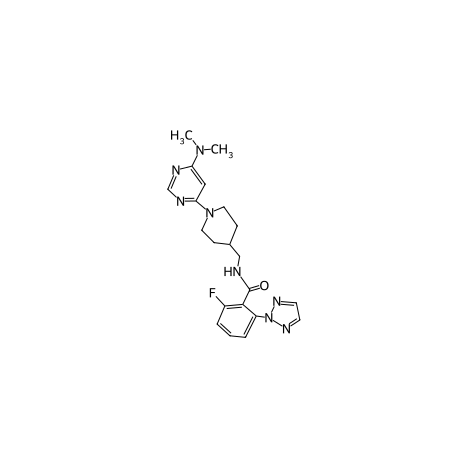 CN(C)c1cc(N2CCC(CNC(=O)c3c(F)cccc3-n3nccn3)CC2)ncn1